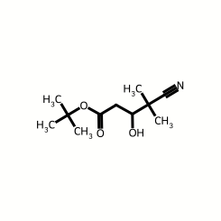 CC(C)(C)OC(=O)CC(O)C(C)(C)C#N